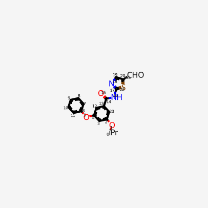 CC(C)Oc1cc(Oc2ccccc2)cc(C(=O)Nc2ncc(C=O)s2)c1